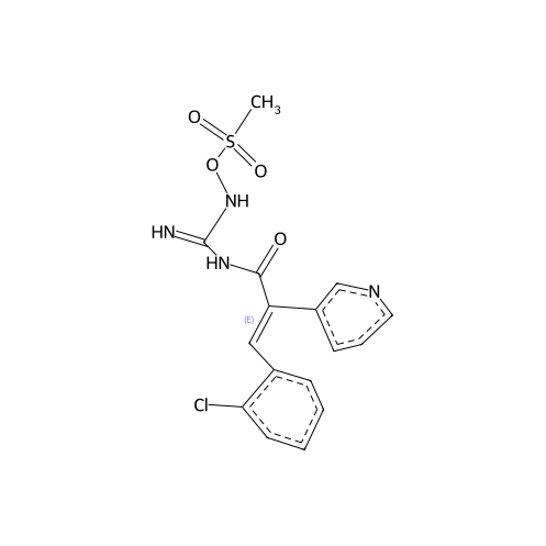 CS(=O)(=O)ONC(=N)NC(=O)/C(=C/c1ccccc1Cl)c1cccnc1